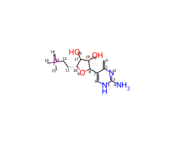 C=C1N=C(N)NC=C1C1O[C@H](CCP(=C)(C)C)[C@@H](O)[C@H]1O